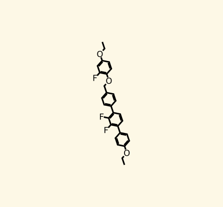 CCOc1ccc(-c2ccc(-c3ccc(COc4ccc(OCC)cc4F)cc3)c(F)c2F)cc1